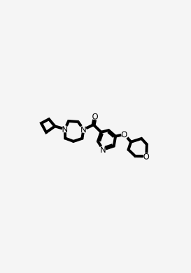 O=C(c1cncc(OC2CCOCC2)c1)N1CCCN(C2CCC2)CC1